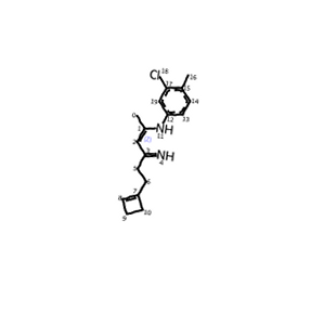 C/C(=C/C(=N)CCC1=CCC1)Nc1ccc(C)c(Cl)c1